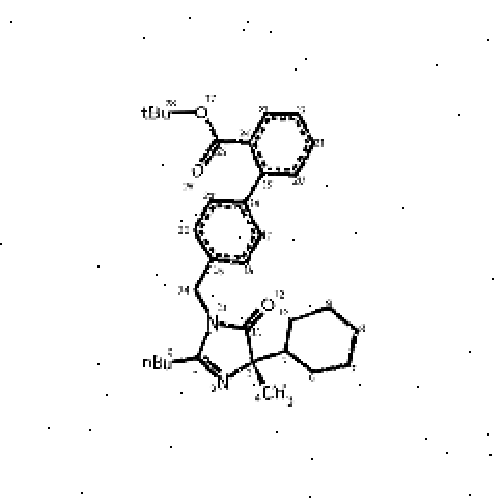 CCCCC1=N[C@@](C)(C2CCCCC2)C(=O)N1Cc1ccc(-c2ccccc2C(=O)OC(C)(C)C)cc1